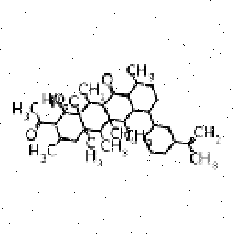 C=C(C)C1CCCC(C2CCC(C)C3C(=O)C4C(C)C5(C)C(O)C(C(C)=O)C(C)CC5(C)C(C)C4(C)C(C)C23)C1